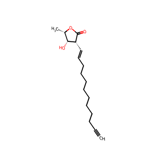 C#CCCCCCCCC/C=C/[C@H]1C(=O)O[C@@H](C)[C@H]1O